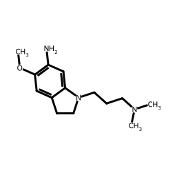 COc1cc2c(cc1N)N(CCCN(C)C)CC2